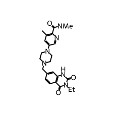 CCn1c(=O)[nH]c2cc(CN3CCN(c4cnc(C(=O)NC)c(C)c4)CC3)ccc2c1=O